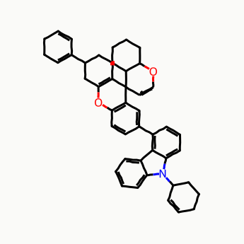 C1=CC(C2CCC3=C(C2)Oc2ccc(-c4cccc5c4c4ccccc4n5C4C=CCCC4)cc2C32C3C=CCCC3OC3CCCCC32)=CCC1